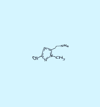 CNCc1cc(N=O)nn1C